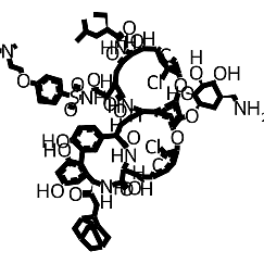 CC[C@H](CC(C)C)C(=O)N[C@H]1C(=O)C[C@@H](CC(=O)NS(=O)(=O)c2ccc(OCCN(C)C)cc2)C(=O)N[C@H]2C(=O)C[C@H]3C(=O)N[C@H](C(=O)N[C@H](C(=O)CC4C5CC6CC(C5)CC4C6)c4cc(O)cc(O)c4-c4cc3ccc4O)[C@H](O)c3ccc(c(Cl)c3)Oc3cc2cc(c3O[C@@H]2C[C@H](CN)[C@@H](O)[C@H](O)[C@H]2O)Oc2ccc(cc2Cl)[C@H]1O